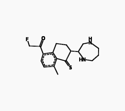 Cc1ccc(C(=O)CF)c2c1C(=S)C(C1CNCCCN1)CC2